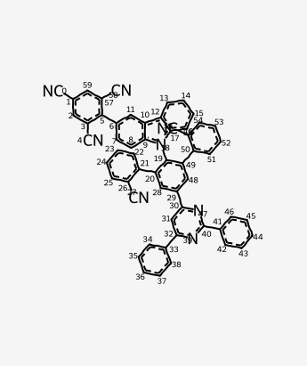 N#Cc1cc(C#N)c(-c2ccc3c(c2)c2ccccc2n3-c2c(-c3ccccc3C#N)cc(-c3cc(-c4ccccc4)nc(-c4ccccc4)n3)cc2-c2ccccc2C#N)c(C#N)c1